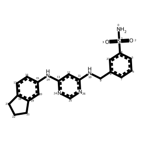 NS(=O)(=O)c1cccc(CNc2cc(Nc3ccc4c(c3)CCC4)ncn2)c1